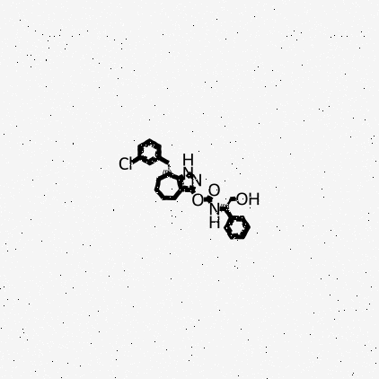 O=C(N[C@@H](CO)c1ccccc1)Oc1n[nH]c2c1CCCC[C@@H]2Cc1cccc(Cl)c1